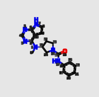 CN(c1ncnc2[nH]ccc12)C1CCN(C(=O)Nc2ccccc2)C1